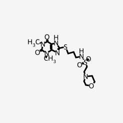 Cn1c(=O)c2[nH]c(SCCCNS(=O)(=O)CCN3CCOCC3)nc2n(C)c1=O